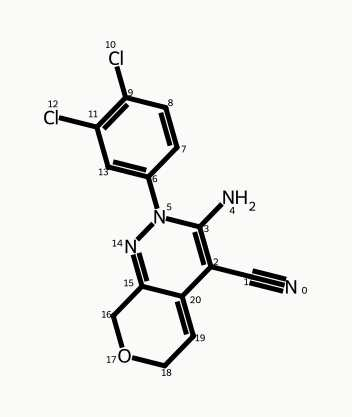 N#CC1=C(N)N(c2ccc(Cl)c(Cl)c2)N=C2COCC=C21